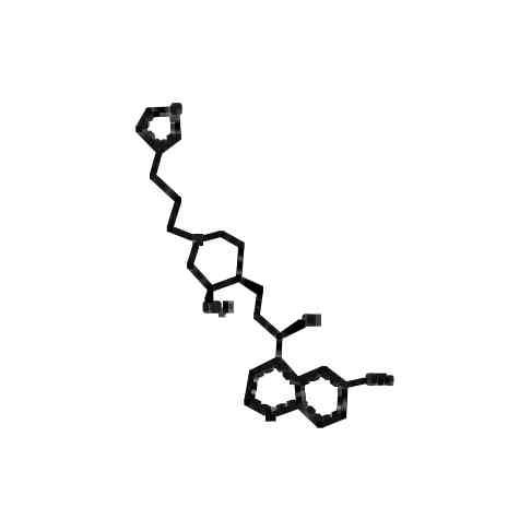 COc1ccc2nccc([C@H](O)CC[C@@H]3CCN(CCCc4ccoc4)C[C@@H]3C(=O)O)c2c1